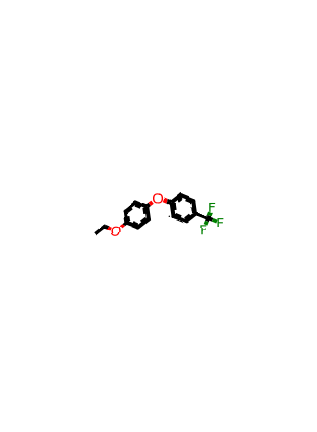 CCOc1ccc(Oc2[c]cc(C(F)(F)F)cc2)cc1